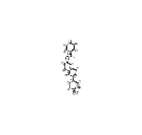 Brc1ccc(-c2ccc3cc(OCc4ccccc4)ccc3c2)cn1